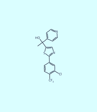 CC(O)(c1ccncc1)c1cnc(-c2ccc(C(F)(F)F)c(Cl)c2)s1